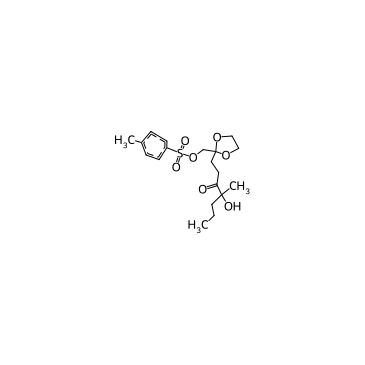 CCCC(C)(O)C(=O)CCC1(COS(=O)(=O)c2ccc(C)cc2)OCCO1